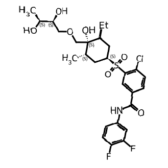 CCC1C[C@@H](S(=O)(=O)c2cc(C(=O)Nc3ccc(F)c(F)c3)ccc2Cl)C[C@H](C)[C@@]1(O)COC[C@H](O)[C@H](C)O